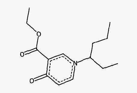 CCCC(CC)n1ccc(=O)c(C(=O)OCC)c1